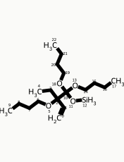 C=CC(CC)(OCCCC)C(O[SiH3])(OCCCC)OCCCC